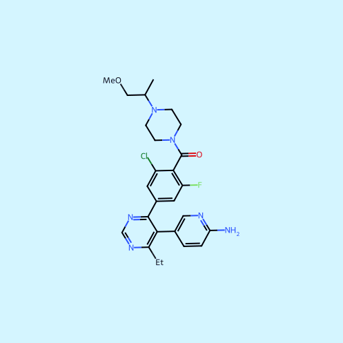 CCc1ncnc(-c2cc(F)c(C(=O)N3CCN(C(C)COC)CC3)c(Cl)c2)c1-c1ccc(N)nc1